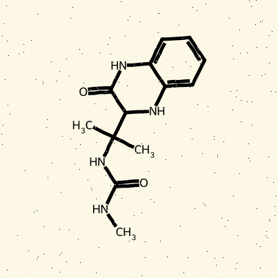 CNC(=O)NC(C)(C)C1Nc2ccccc2NC1=O